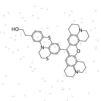 OCCc1ccc2c(c1)N1CCSc3cc(C4=c5cc6c7c(c5Oc5c4cc4c8c5CCCN8CCC4)CCC[N+]=7CCC6)cc(c31)S2